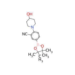 CC1(C)OB(c2ccc(N3CCC(O)CC3)c(C#N)c2)OC1(C)C